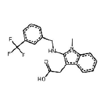 Cn1c(NCc2cccc(C(F)(F)F)c2)c(CC(=O)O)c2ccccc21